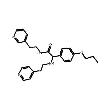 CCCOc1ccc(C(NCCc2ccncc2)C(=O)NCCc2cccnc2)cc1